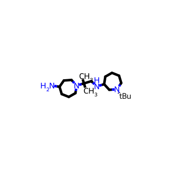 CC(C)(C)N1CCCCC(NCC(C)(C)N2CCCC(N)CC2)C1